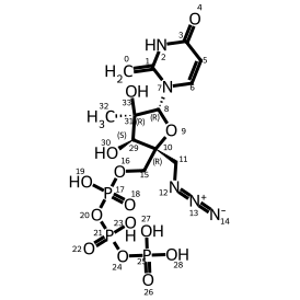 C=C1NC(=O)C=CN1[C@@H]1O[C@](CN=[N+]=[N-])(COP(=O)(O)OP(=O)(O)OP(=O)(O)O)[C@@H](O)[C@@]1(C)O